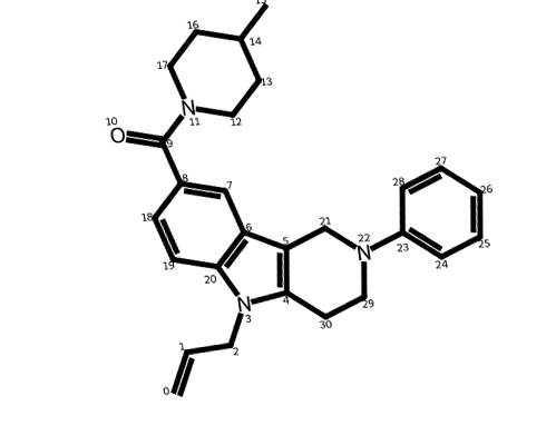 C=CCn1c2c(c3cc(C(=O)N4CCC(C)CC4)ccc31)CN(c1ccccc1)CC2